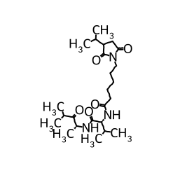 CC(C)C(=O)[C@H](C)NC(=O)[C@@H](NC(=O)CCCCCN1C(=O)CC(C(C)C)C1=O)C(C)C